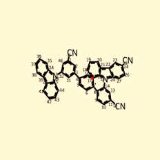 N#Cc1cc(-c2ccc(-c3ccc(C#N)cc3-n3c4ccccc4c4cc(C#N)ccc43)cc2)cc(-n2c3ccccc3c3ccccc32)c1